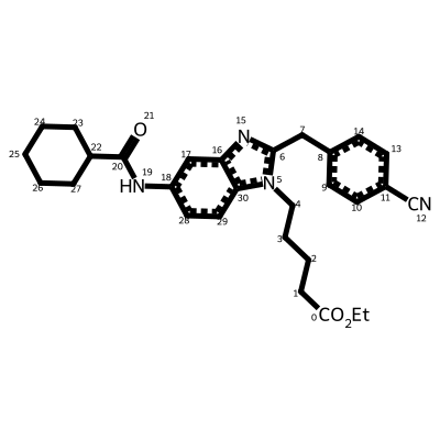 CCOC(=O)CCCCn1c(Cc2ccc(C#N)cc2)nc2cc(NC(=O)C3CCCCC3)ccc21